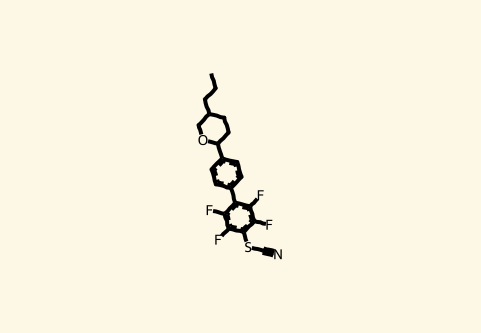 CCCC1CCC(c2ccc(-c3c(F)c(F)c(SC#N)c(F)c3F)cc2)OC1